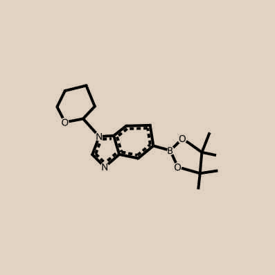 CC1(C)OB(c2ccc3c(c2)ncn3C2CCCCO2)OC1(C)C